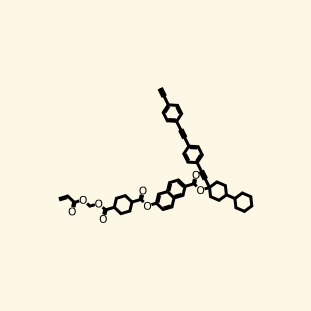 C#Cc1ccc(C#Cc2ccc(C#CC3(OC(=O)c4ccc5cc(OC(=O)C6CCC(C(=O)OCOC(=O)C=C)CC6)ccc5c4)CCC(C4CCCCC4)CC3)cc2)cc1